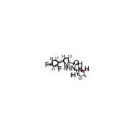 Cn1c(C(=O)N[C@@H]2C[C@H]3CC[C@@H]2N3)ccc1-c1ccc(F)cc1F